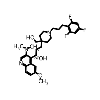 COc1ccc2ncc(N(C)C)c([C@@H](O)CCC3(CO)CCN(CCCc4c(F)cc(F)cc4F)CC3)c2c1